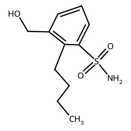 CCCCc1c(CO)cccc1S(N)(=O)=O